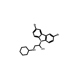 OC(CNC1CCCCC1)n1c2ccc(Br)cc2c2cc(Br)ccc21